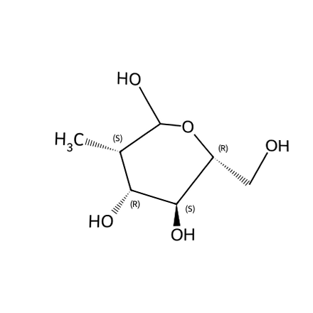 C[C@@H]1C(O)O[C@H](CO)[C@@H](O)[C@@H]1O